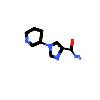 NC(=O)c1cn(-c2cccnc2)cn1